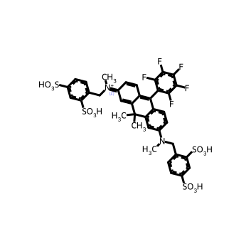 CN(Cc1ccc(S(=O)(=O)O)cc1S(=O)(=O)O)c1ccc2c(c1)C(C)(C)C1=C/C(=[N+](/C)Cc3ccc(S(=O)(=O)O)cc3S(=O)(=O)O)C=CC1=C2c1c(F)c(F)c(F)c(F)c1F